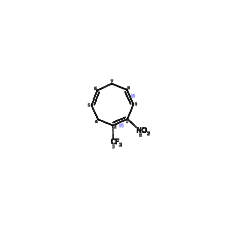 O=[N+]([O-])C1=C(\C(F)(F)F)CC=CC/C=C\1